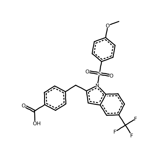 COc1ccc(S(=O)(=O)n2c(Cc3ccc(C(=O)O)cc3)cc3cc(C(F)(F)F)ccc32)cc1